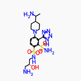 CC(N)C1CCN(c2ccc(S(=O)(=O)NC[C@H](O)CN)c(S(N)(=O)=O)c2-c2nnn[nH]2)CC1